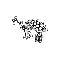 CO[C@H]1OCCN2[C@@H]1O[C@@H]1[C@H](C)O[C@@H](O[C@H]3C[C@](O)(C(C)=O)Cc4c(O)c5c(c(O)c43)C(=O)c3c(cccc3N(C(=O)[C@H](CCCNC(N)=O)NC(=O)[C@@H](NC(=O)CCCCCN3C(=O)C=CC3=O)C(C)C)[C@@H](C)C(N)=O)C5=O)C[C@@H]12